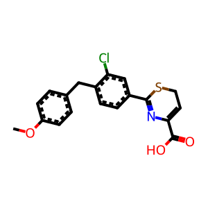 COc1ccc(Cc2ccc(C3=NC(C(=O)O)=CCS3)cc2Cl)cc1